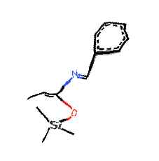 CC=C(N=Cc1ccccc1)O[Si](C)(C)C